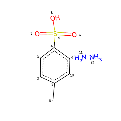 Cc1ccc(S(=O)(=O)O)cc1.N.N